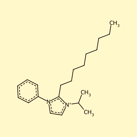 CCCCCCCCCc1n(-c2ccccc2)cc[n+]1C(C)C